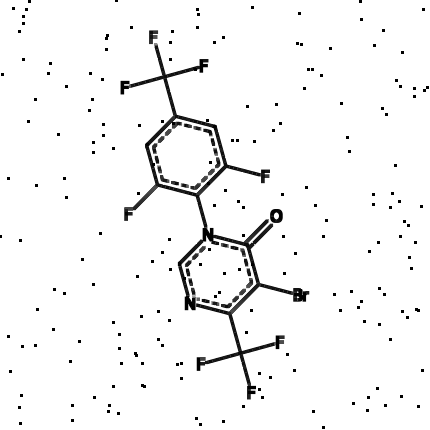 O=c1c(Br)c(C(F)(F)F)ncn1-c1c(F)cc(C(F)(F)F)cc1F